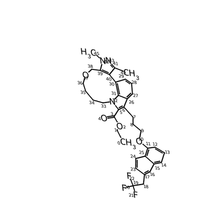 CCOC(=O)c1c(CCCOc2cccc3cc(CC(F)(F)F)ccc23)c2cccc3c2n1CCCCOCc1c-3c(C)nn1C